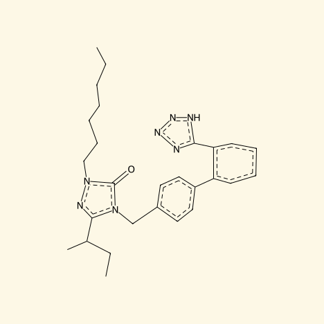 CCCCCCCn1nc(C(C)CC)n(Cc2ccc(-c3ccccc3-c3nnn[nH]3)cc2)c1=O